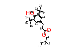 CCC(C)COC(=O)CCc1cc(C(C)(C)C)c(O)c(C(C)(C)C)c1